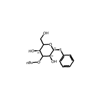 CCCCOC1[C@@H](O)C(CO)O[C@@H](Sc2ccccc2)[C@H]1O